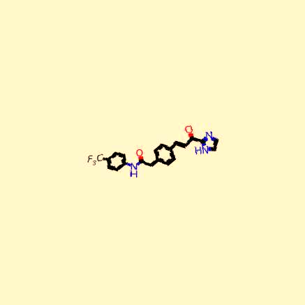 O=C(Cc1ccc(C=CC(=O)c2ncc[nH]2)cc1)Nc1ccc(C(F)(F)F)cc1